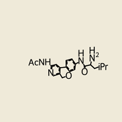 CC(=O)Nc1cc2c(cn1)COc1cc(NC(=O)C(N)CC(C)C)ccc1-2